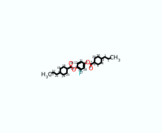 CCCC1CCC(C(=O)Oc2ccc(OC(=O)C3CCC(CCC)CC3)c(F)c2)CC1